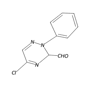 O=CC1N=C(Cl)C=NN1c1ccccc1